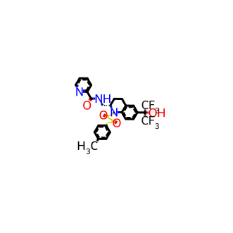 Cc1ccc(S(=O)(=O)N2c3ccc(C(O)(C(F)(F)F)C(F)(F)F)cc3CC[C@H]2CNC(=O)c2ccccn2)cc1